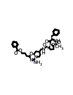 CS(=O)(=O)N[C@H](Cc1ccccc1)C(=O)N1CCC[C@H]1C(=O)NCC1CCN(/C(N)=N\C(=O)CCCOC(=O)c2ccccc2)CC1